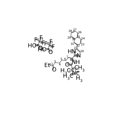 CCC(=O)CCCCC[C@H](NC(=O)C(C)(C)N(C)C)c1ncc(-c2ccc3ccccc3c2)[nH]1.O=C(O)C(F)(F)F.O=C(O)C(F)(F)F